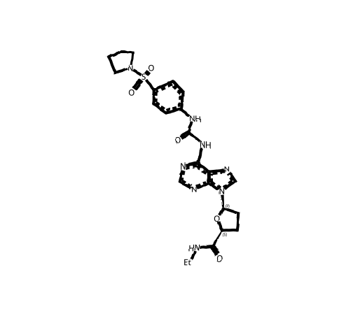 CCNC(=O)[C@@H]1CC[C@H](n2cnc3c(NC(=O)Nc4ccc(S(=O)(=O)N5CCCC5)cc4)ncnc32)O1